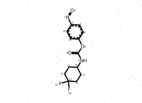 O=Nc1ccc(OC(=O)NC2CCC(F)(F)CC2)cc1